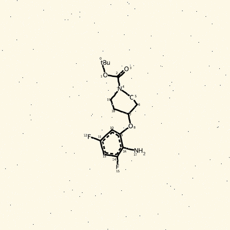 CC(C)(C)OC(=O)N1CCC(Oc2cc(F)cc(F)c2N)CC1